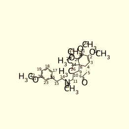 COC1=C[C@H](CC=O)C(CCCN(C)CCc2cccc(OC)c2)(C(C)C)C(OC)=C1OC